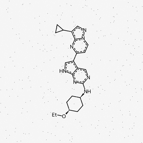 CCO[C@H]1CC[C@@H](Nc2ncc3c(-c4ccn5ncc(C6CC6)c5n4)c[nH]c3n2)CC1